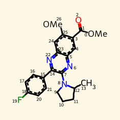 COC(=O)c1cc2nc(N3CCCC3C)c(-c3ccc(F)cc3)nc2cc1OC